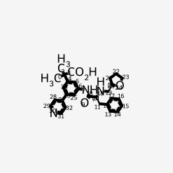 CC(C)(C(=O)O)c1cc(NC(=O)[C@H](Cc2ccccc2)NC[C@H]2CCCO2)cc(-c2ccncc2)c1